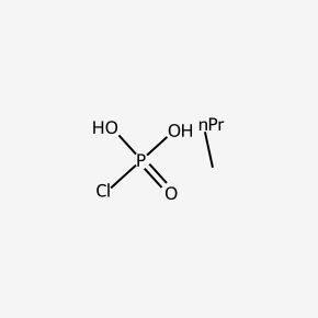 CCCC.O=P(O)(O)Cl